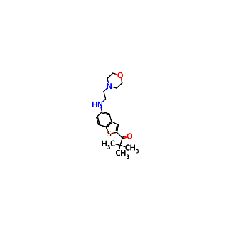 CC(C)(C)C(=O)c1cc2cc(NCCN3CCOCC3)ccc2s1